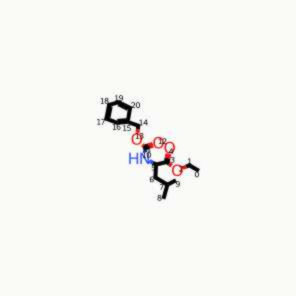 CCOC(=O)C(CC(C)C)NC(=O)OCc1ccccc1